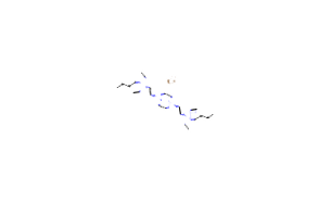 CCCC[N+](CC)(CC)CCN1CCN(CC[N+](CC)(CC)CCCC)CC1.[Br-].[Br-]